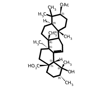 CC(=O)O[C@H]1CC[C@]2(C)C3CC=C4[C@H]5[C@](C(=O)O)(CC[C@@H](C)[C@@]5(C)O)CC[C@@]4(C)[C@]3(C)CC[C@H]2C1(C)C